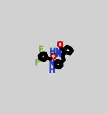 O=C(Nc1cccc(Cc2n[nH]c(=O)c3c2CCCC3)c1)c1cc(F)cc(F)c1